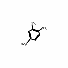 O=[N+]([O-])c1ccc(S(=O)(=O)O)cc1[N+](=O)[O-]